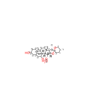 C[C@@H]1CC[C@@]2(OC1)O[C@H]1C[C@H]3[C@@H]4CCC5C[C@@H](O)CC[C@]5(C)[C@H]4CC[C@]3(C)[C@H]1[C@@H]2C.O.O